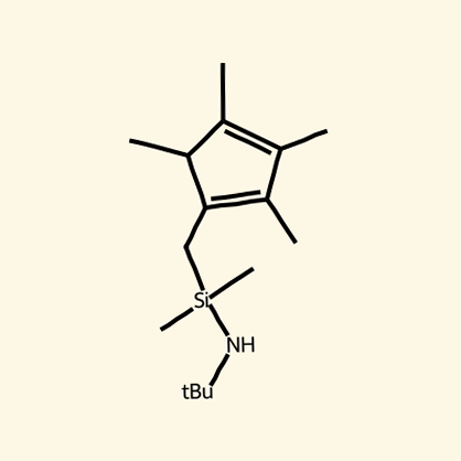 CC1=C(C)C(C)C(C[Si](C)(C)NC(C)(C)C)=C1C